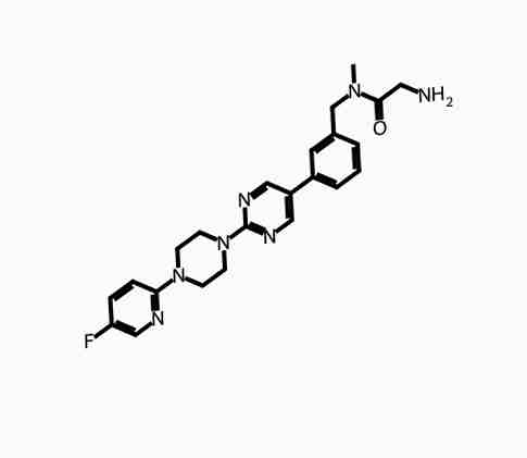 CN(Cc1cccc(-c2cnc(N3CCN(c4ccc(F)cn4)CC3)nc2)c1)C(=O)CN